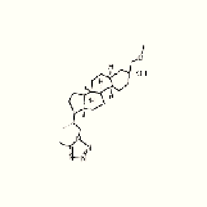 COC[C@@]1(O)CC[C@H]2[C@@H](CC[C@@H]3[C@@H]2CC[C@]2(C)[C@@H]([C@@H](C)Cn4nnnc4C)CC[C@@H]32)C1